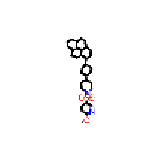 COc1ccc(S(=O)(=O)N2CCC(c3ccc(-c4ccc5ccc6cccc7ccc4c5c67)cc3)CC2)cn1